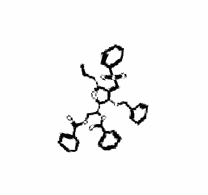 C=CC[C@@H]1O[C@H](C(COC(=O)c2ccccc2)OC(=O)c2ccccc2)[C@H](OCc2ccccc2)/C1=C/S(=O)(=O)c1ccccc1